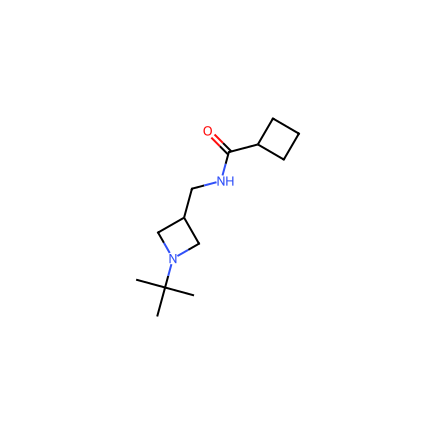 CC(C)(C)N1CC(CNC(=O)C2CCC2)C1